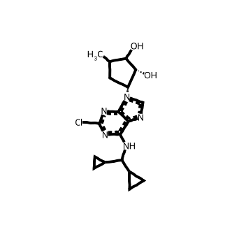 CC1C[C@@H](n2cnc3c(NC(C4CC4)C4CC4)nc(Cl)nc32)[C@@H](O)C1O